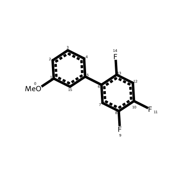 COc1cccc(-c2cc(F)c(F)cc2F)c1